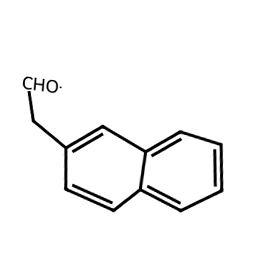 O=[C]Cc1ccc2ccccc2c1